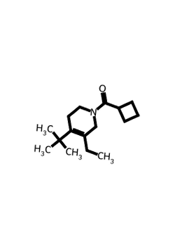 CCC1=C(C(C)(C)C)CCN(C(=O)C2CCC2)C1